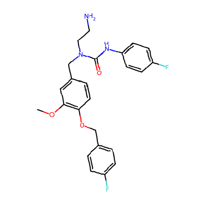 COc1cc(CN(CCN)C(=O)Nc2ccc(F)cc2)ccc1OCc1ccc(F)cc1